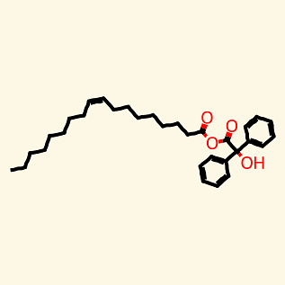 CCCCCCCC/C=C\CCCCCCCC(=O)OC(=O)C(O)(c1ccccc1)c1ccccc1